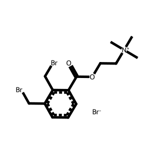 C[N+](C)(C)CCOC(=O)c1cccc(CBr)c1CBr.[Br-]